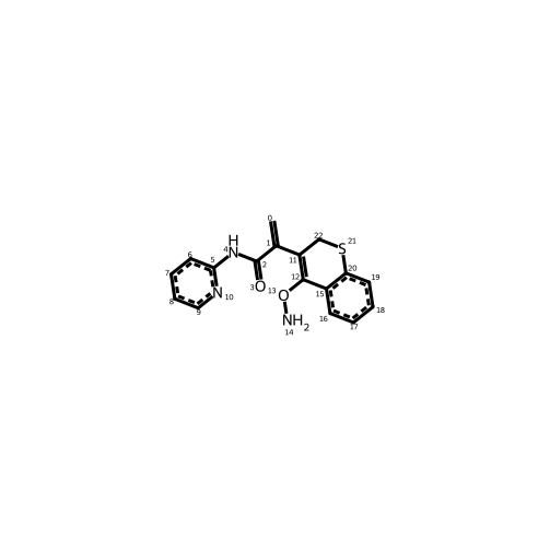 C=C(C(=O)Nc1ccccn1)C1=C(ON)c2ccccc2SC1